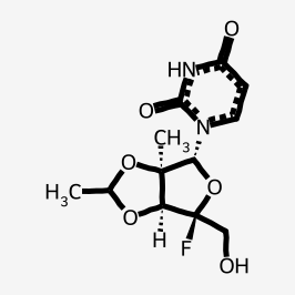 CC1O[C@H]2[C@@](C)(O1)[C@H](n1ccc(=O)[nH]c1=O)O[C@]2(F)CO